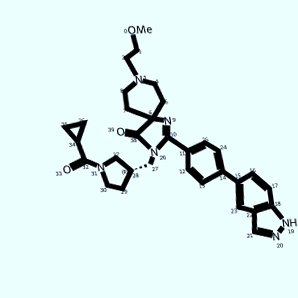 COCCN1CCC2(CC1)N=C(c1ccc(-c3ccc4[nH]ncc4c3)cc1)N(C[C@@H]1CCN(C(=O)C3CC3)C1)C2=O